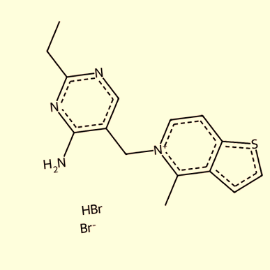 Br.CCc1ncc(C[n+]2ccc3sccc3c2C)c(N)n1.[Br-]